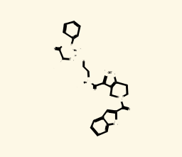 C[C@H](NP(=O)(OCCN(C)C(=O)c1n[nH]c2c1CN(C(=O)c1cc3ccccc3[nH]1)CC2)Oc1ccccc1)C(=O)O